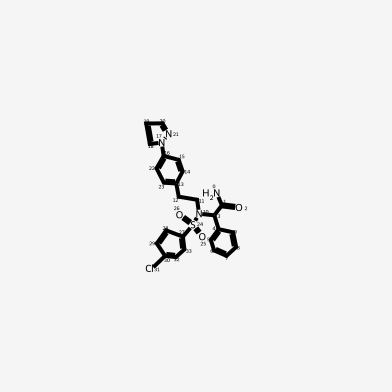 NC(=O)C(c1ccccc1)N(CCc1ccc(-n2cccn2)cc1)S(=O)(=O)c1ccc(Cl)cc1